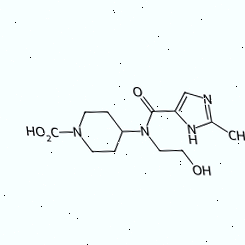 Cc1ncc(C(=O)N(CCO)C2CCN(C(=O)O)CC2)[nH]1